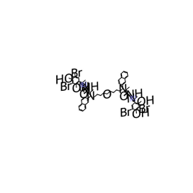 C/C(=N\NC(=O)C(C)N(CCCCOCCCCN(c1ccc2ccccc2c1)C(C)C(=O)N/N=C(\C)c1cc(Br)c(O)c(Br)c1O)c1ccc2ccccc2c1)c1cc(Br)c(O)c(Br)c1O